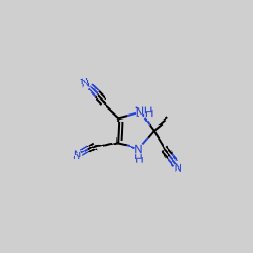 CC1(C#N)NC(C#N)=C(C#N)N1